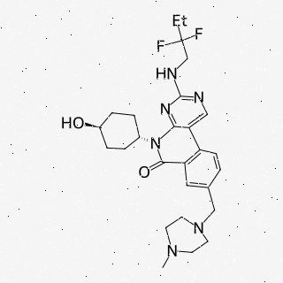 CCC(F)(F)CNc1ncc2c3ccc(CN4CCN(C)CC4)cc3c(=O)n([C@H]3CC[C@H](O)CC3)c2n1